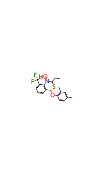 CCC(=S)N(O)c1c(COc2ccc(C)cc2C)cccc1C(F)(F)F